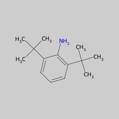 CC(C)(C)c1cccc(C(C)(C)C)c1N